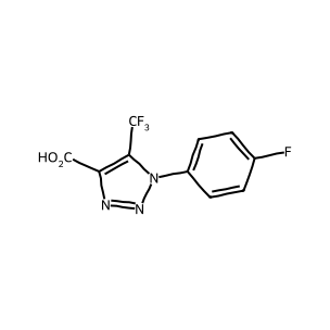 O=C(O)c1nnn(-c2ccc(F)cc2)c1C(F)(F)F